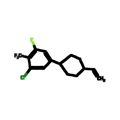 C=CC1CCC(c2cc(F)c(C(F)(F)F)c(Cl)c2)CC1